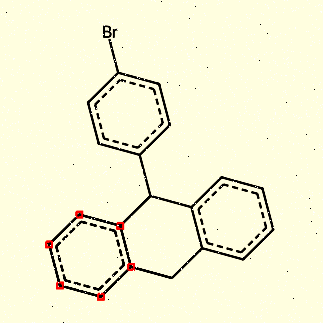 Brc1ccc(C23c4ccccc4C(c4ccccc42)c2ccccc23)cc1